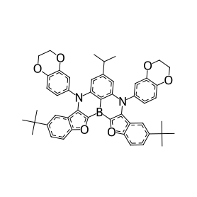 CC(C)c1cc2c3c(c1)N(c1ccc4c(c1)OCCO4)c1c(oc4ccc(C(C)(C)C)cc14)B3c1oc3ccc(C(C)(C)C)cc3c1N2c1ccc2c(c1)OCCO2